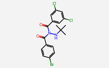 CC(C)(C)NN(C(=O)c1ccc(Br)cc1)C(=O)c1cc(Cl)cc(Cl)c1